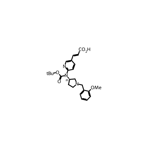 COc1ccccc1CN1CC[C@@H](N(C(=O)OC(C)(C)C)c2ccc(C=CC(=O)O)cn2)C1